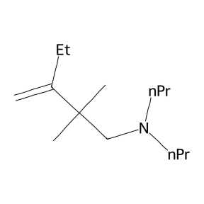 C=C(CC)C(C)(C)CN(CCC)CCC